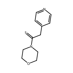 S=C(Cc1ccncc1)N1CCOCC1